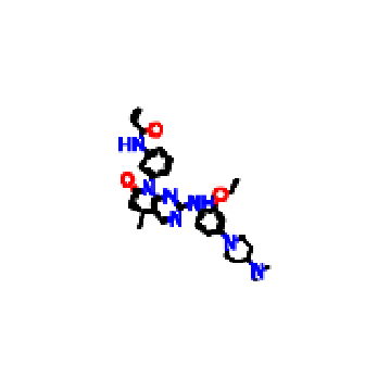 C=CC(=O)Nc1cccc(-n2c(=O)cc(C)c3cnc(Nc4ccc(N5CCC(N(C)C)CC5)cc4OCC)nc32)c1